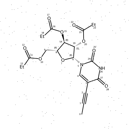 CC#Cc1cn([C@@H]2O[C@H](COC(=O)CC)[C@@H](OC(=O)CC)[C@@H]2OC(=O)CC)c(=O)[nH]c1=O